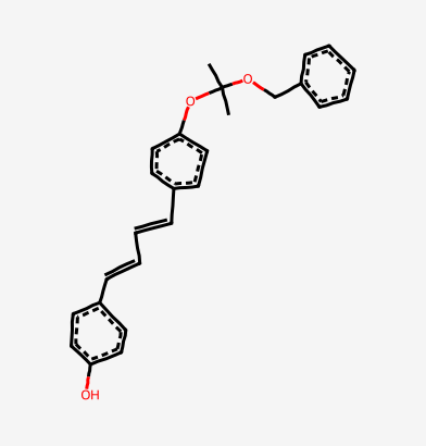 CC(C)(OCc1ccccc1)Oc1ccc(C=CC=Cc2ccc(O)cc2)cc1